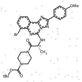 COc1ccc(-c2nc3c4cccc(Br)c4nc(N[C@H](C)C(=O)N4CCN(C(=O)OC(C)(C)C)CC4)n3n2)cc1